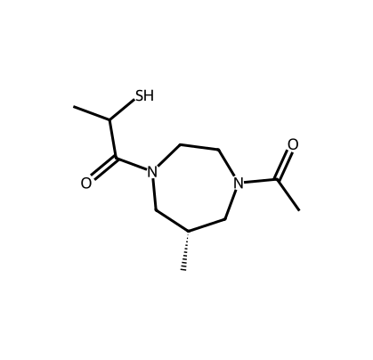 CC(=O)N1CCN(C(=O)C(C)S)C[C@@H](C)C1